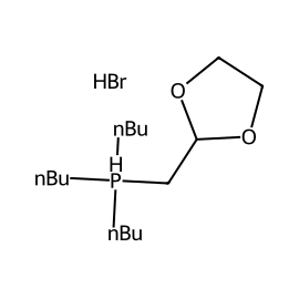 Br.CCCC[PH](CCCC)(CCCC)CC1OCCO1